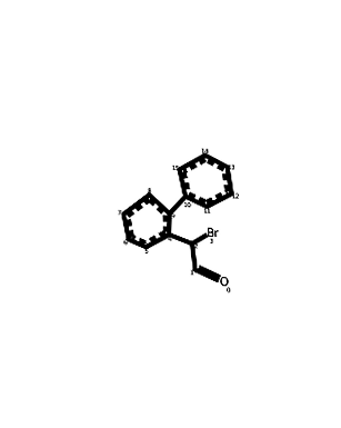 O=CC(Br)c1ccccc1-c1ccccc1